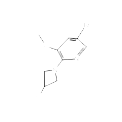 COc1cc(Br)cnc1N1CC(O)C1